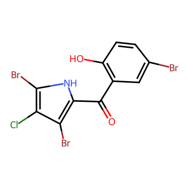 O=C(c1cc(Br)ccc1O)c1[nH]c(Br)c(Cl)c1Br